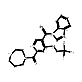 N=C(c1cnc(C(=O)N2CCCOCC2)cc1NCC(F)(F)F)n1cnc2ccccc21